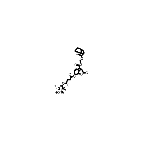 CC(OC(=O)CCC(=O)OC1C2CC3C1OC(=O)C3C2C(=O)OCOC1C2CC3CC(C2)CC1C3)C(F)(F)S(=O)(=O)O